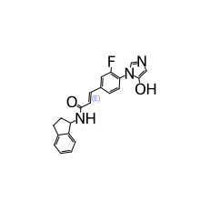 O=C(/C=C/c1ccc(-n2cncc2O)c(F)c1)NC1CCc2ccccc21